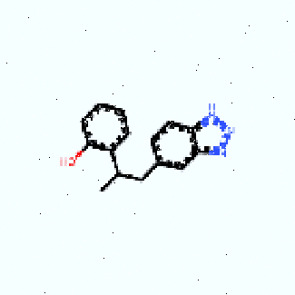 CC(Cc1ccc2[nH]nnc2c1)c1ccccc1O